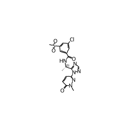 C[C@H](NC(=O)c1cc(Cl)cc(S(C)(=O)=O)c1)c1ncnn1-c1ccc(=O)n(C)n1